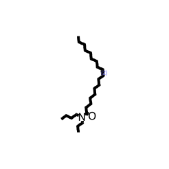 CCCCCCCC/C=C\CCCCCCCC(=O)N(CCC)CCCC